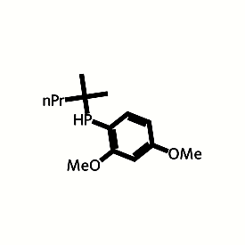 CCCC(C)(C)Pc1ccc(OC)cc1OC